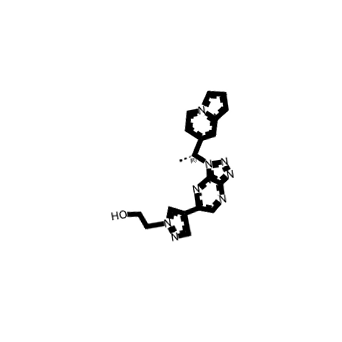 C[C@H](c1ccn2cccc2c1)n1nnc2ncc(-c3cnn(CCO)c3)nc21